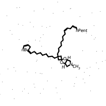 CCCC/C=C\C/C=C\CCCCCCCCC1(CCCCCCCC/C=C\C/C=C\CCCCC)CC2(C1)O[C@H]1CN(C)C[C@H]1O2